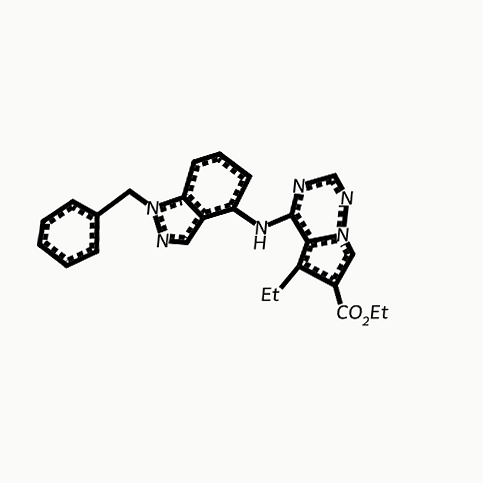 CCOC(=O)c1cn2ncnc(Nc3cccc4c3cnn4Cc3ccccc3)c2c1CC